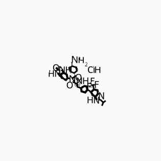 CC(C)c1nc2cc(C(F)(F)F)c(-c3ccc(C[C@H](N)C(=O)N(c4ccc5[nH]c(=O)[nH]c5c4)C(=O)[C@H]4CC[C@H](CN)CC4)cc3)cc2[nH]1.Cl